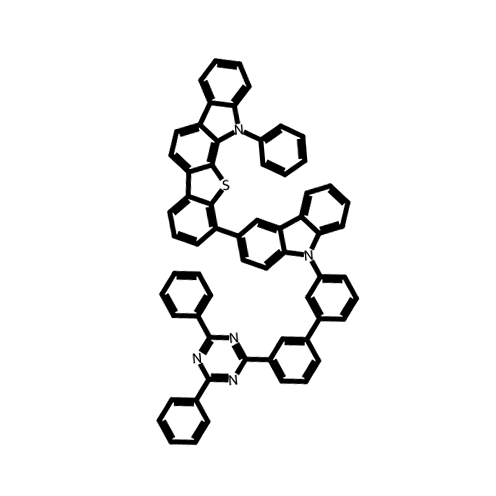 c1ccc(-c2nc(-c3ccccc3)nc(-c3cccc(-c4cccc(-n5c6ccccc6c6cc(-c7cccc8c7sc7c8ccc8c9ccccc9n(-c9ccccc9)c87)ccc65)c4)c3)n2)cc1